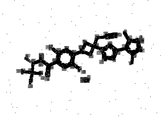 Br.Cc1n[nH]c(C)c1-c1cnn(C2(CC#N)CN(c3cc(F)c(C(=O)N[C@@H](C)C(F)(F)F)cc3F)C2)c1